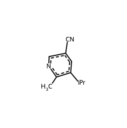 Cc1ncc(C#N)cc1C(C)C